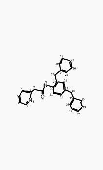 O=C(Cc1ccccn1)Nc1ccc(Cc2ccccc2)cc1Cc1ccccc1